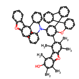 Bc1c(O)c(B)c2c(oc3c(B)c(B)c(-c4cc(N(c5ccccc5)c5ccccc5-c5cccc6oc7ccccc7c56)cc5c4Oc4ccccc4C54c5ccccc5-c5ccccc54)c(B)c32)c1B